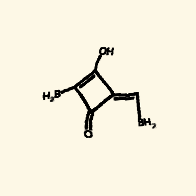 B/C=C1\C(=O)C(B)=C1O